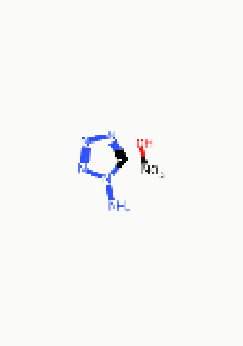 Nn1cnnn1.O=[N+]([O-])O